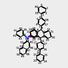 c1ccc(-c2ccc(C34c5ccccc5C(c5ccc(-c6ccccc6)cc5)(c5ccccc53)c3cc(N(c5ccccc5)c5ccc6ccccc6c5)ccc34)cc2)cc1